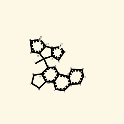 CC1(c2cc3c(ccc4ccccc43)c3c2CCC3)c2ccsc2-c2sccc21